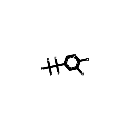 FC(F)(F)C(F)(F)c1cnc(Cl)c(Cl)c1